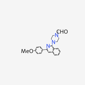 COc1ccc(-c2cc3ccccc3c(N3CCN(C=O)CC3)n2)cc1